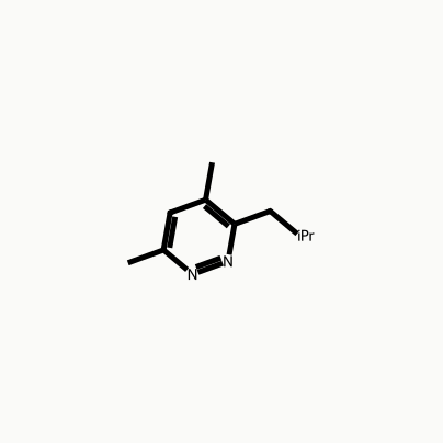 Cc1cc(C)c(CC(C)C)nn1